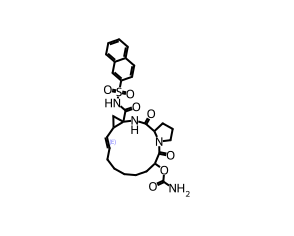 NC(=O)OC1CCCCC/C=C/C2CC2(C(=O)NS(=O)(=O)c2ccc3ccccc3c2)NC(=O)C2CCCN2C1=O